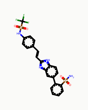 NS(=O)(=O)c1ccccc1-c1ccc2[nH]c(/C=C/c3ccc(NS(=O)(=O)C(F)(F)F)cc3)nc2c1